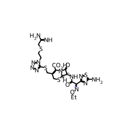 CCO/N=C(\C(=O)N[C@@H]1C(=O)N2C(C(=O)O)=C(CSc3nnnn3CCSCC(=N)N)CS[C@@H]12)c1nsc(N)n1